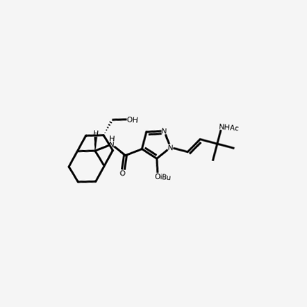 CC(=O)NC(C)(C)/C=C/n1ncc(C(=O)N[C@H]2C3CCCC2C[C@@H](CO)C3)c1OCC(C)C